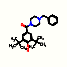 CC(C)(C)c1cc(C(=O)N2CCN(Cc3ccccc3)CC2)cc(C(C)(C)C)c1O